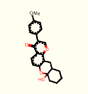 COc1ccc(-c2coc3c4c(ccc3c2=O)OC2(O)CCCCC2C4)cc1